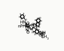 CCCN(C(=O)NCc1ccccc1)N1CC(=O)N2[C@@H](Cc3ccc(NS(C)(=O)=O)cc3)C(=O)N(Cc3cccc4ccccc34)C[C@@H]21